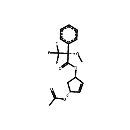 CO[C@@](C(=O)O[C@H]1C=C[C@H](OC(C)=O)C1)(c1ccccc1)C(F)(F)F